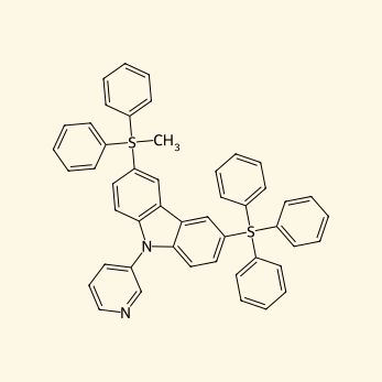 CS(c1ccccc1)(c1ccccc1)c1ccc2c(c1)c1cc(S(c3ccccc3)(c3ccccc3)c3ccccc3)ccc1n2-c1cccnc1